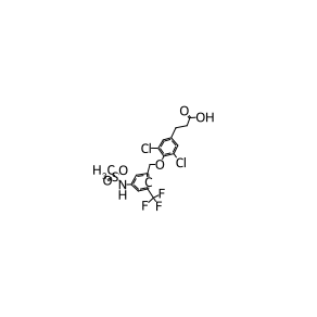 CS(=O)(=O)Nc1cc(COc2c(Cl)cc(CCC(=O)O)cc2Cl)cc(C(F)(F)F)c1